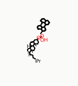 CC(C)CCC[C@H](C)[C@H]1CCC2[C@@H]3CC=C4CC(OC(O)OCc5ccc6c7cccc8cccc(c9cccc5c96)c87)CC[C@]4(C)C3CC[C@@]21C